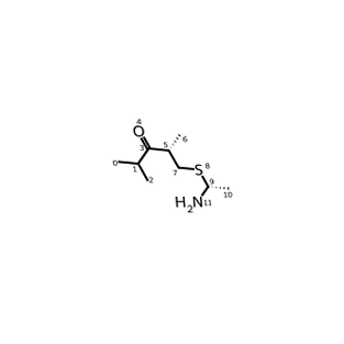 CC(C)C(=O)[C@H](C)CS[C@H](C)N